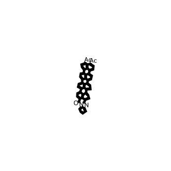 CC(=O)c1ccc2c3ccc4c5ccc6c7ccc8c(=O)n9c%10ccccc%10nc9c9ccc(c%10ccc(c%11ccc(c%12ccc(C(C)=O)c1c2%12)c3c4%11)c5c6%10)c7c89